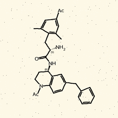 CC(=O)c1cc(C)c(C[C@H](N)C(=O)N[C@@H]2CCN(C(C)=O)c3ccc(Cc4ccccc4)cc32)c(C)c1